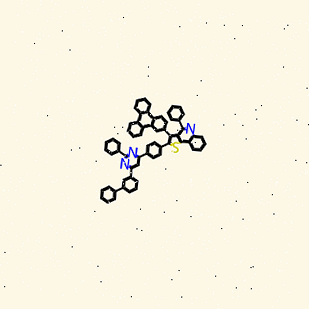 c1ccc(-c2cccc(-c3cc(-c4ccc(-c5sc6c(c(-c7ccccc7)nc7ccccc76)c5-c5ccc6c7ccccc7c7ccccc7c6c5)cc4)nc(-c4ccccc4)n3)c2)cc1